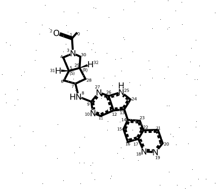 CC(=O)N1C[C@H]2CC(Nc3ncc4c(-c5ccc6nnccc6c5)c[nH]c4n3)C[C@H]2C1